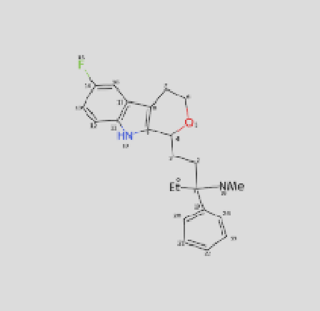 CCC(CCC1OCCc2c1[nH]c1ccc(F)cc21)(NC)c1ccccc1